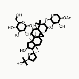 CC(=O)O[C@H]1[C@H](O[C@H]2CC[C@]34C[C@]35CC[C@]3(C)[C@@H]([C@@]6(C)CC[C@@H](C(C)(C)O)O6)[C@@H](O)C[C@@]3(C)[C@@H]5C[C@H](O[C@@H]3O[C@H](CO)[C@@H](O)[C@H](O)[C@H]3O)[C@H]4C2(C)C)OC[C@@H](OC(C)=O)[C@@H]1O